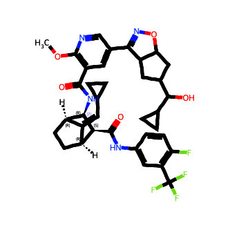 COc1ncc(C2=NOC3CC(C(O)C4CC4)CC23)cc1C(=O)N[C@H]1[C@@H](C(=O)Nc2ccc(F)c(C(F)(F)F)c2)[C@H]2CC[C@@H]1/C2=C\C1CC1